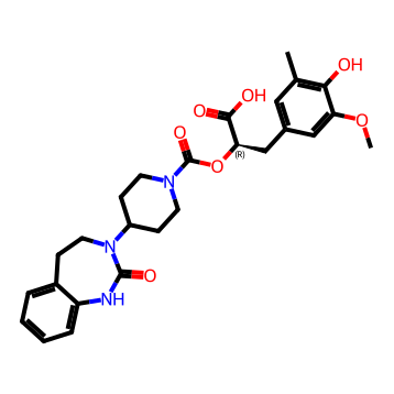 COc1cc(C[C@@H](OC(=O)N2CCC(N3CCc4ccccc4NC3=O)CC2)C(=O)O)cc(C)c1O